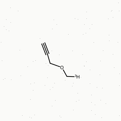 [3H]COCC#C